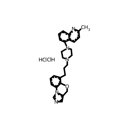 Cc1ccc2c(N3CCN(CCCc4cccc5c4OCc4cncn4-5)CC3)cccc2n1.Cl.Cl